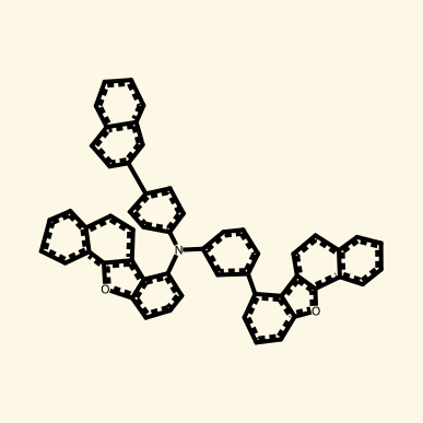 c1cc(-c2cccc3oc4c5ccccc5ccc4c23)cc(N(c2ccc(-c3ccc4ccccc4c3)cc2)c2cccc3oc4c5ccccc5ccc4c23)c1